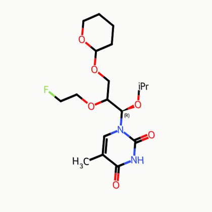 Cc1cn([C@H](OC(C)C)C(COC2CCCCO2)OCCF)c(=O)[nH]c1=O